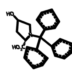 O=C(O)[C@@H]1CC(O)CN1C(c1ccccc1)(c1ccccc1)c1ccccc1